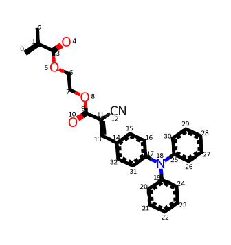 C=C(C)C(=O)OCCOC(=O)/C(C#N)=C/c1ccc(N(c2ccccc2)c2ccccc2)cc1